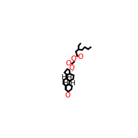 CCCCC(CC)CC(=O)OCC(=O)O[C@H]1CC[C@H]2[C@@H]3CCC4=CC(=O)CC[C@@H]4[C@H]3CC[C@]12C